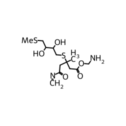 C=NC(=O)CC(C)(CC(=O)OCN)SCC(O)C(O)CSC